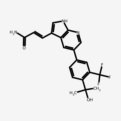 CC(C)(O)c1ccc(-c2cnc3[nH]cc(C=CC(N)=O)c3c2)cc1C(F)(F)F